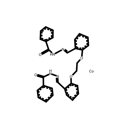 O=C(NN=Cc1ccccc1OCCOc1ccccc1C=NNC(=O)c1ccccc1)c1ccccc1.[Co]